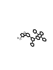 Cc1ccc2oc3ccc(-c4cc(-c5ccccc5)cc(-c5ccc6c(-c7ccccc7)c7ccccc7c(-c7ccccc7)c6c5)c4)cc3c2c1